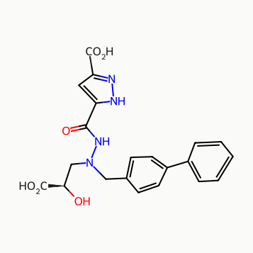 O=C(O)c1cc(C(=O)NN(Cc2ccc(-c3ccccc3)cc2)C[C@@H](O)C(=O)O)[nH]n1